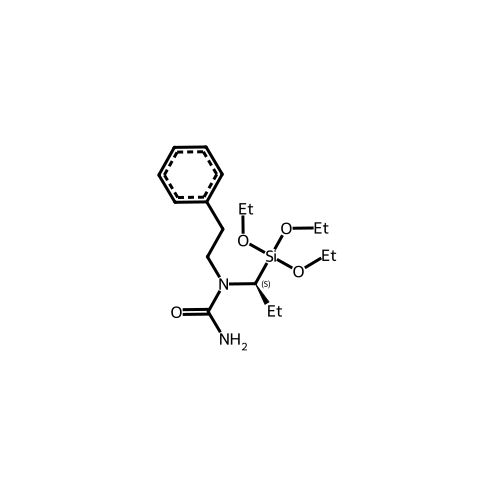 CCO[Si](OCC)(OCC)[C@@H](CC)N(CCc1ccccc1)C(N)=O